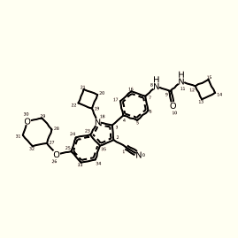 N#Cc1c(-c2ccc(NC(=O)NC3CCC3)cc2)n(C2CCC2)c2cc(OC3CCOCC3)ccc12